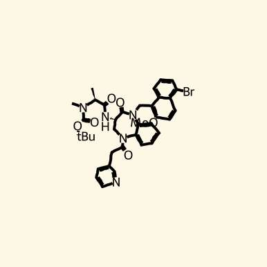 COc1ccc2c(Br)cccc2c1CN1C(=O)[C@@H](NC(=O)[C@H](C)N(C)C(=O)OC(C)(C)C)CN(C(=O)Cc2cccnc2)c2ccccc21